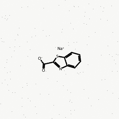 O=C([O-])c1nc2ccccc2s1.[Na+]